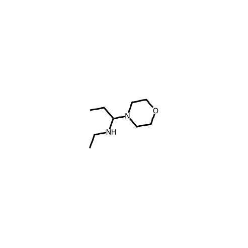 CCNC(CC)N1CCOCC1